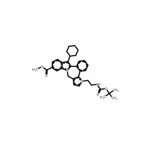 COC(=O)c1ccc2c(C3CCCCC3)c3n(c2c1)Cc1ccn(CCNC(=O)OC(C)(C)C)c1-c1ccccc1-3